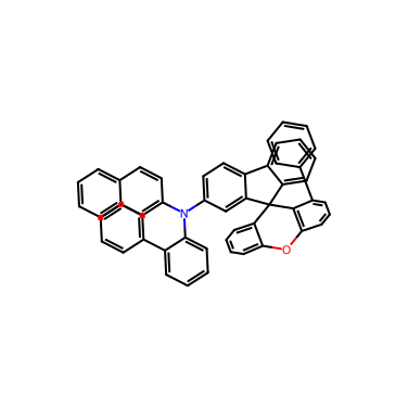 c1ccc(-c2ccccc2N(c2ccc3c(c2)C2(c4ccccc4Oc4cccc(-c5ccccc5)c42)c2ccccc2-3)c2ccc3ccccc3c2)cc1